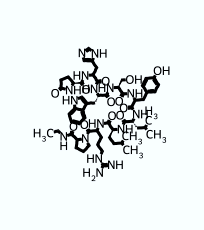 CCNC(=O)C1CCCN1C(=O)C(CCCNC(=N)N)NC(=O)[C@H](CCC(C)C)NC(=O)[C@@H](CC(C)C)NC(=O)C(Cc1ccc(O)cc1)NC(=O)[C@H](CO)NC(=O)[C@H](Cc1c[nH]c2ccccc12)NC(=O)C(Cc1cnc[nH]1)NC(=O)[C@@H]1CCC(=O)N1